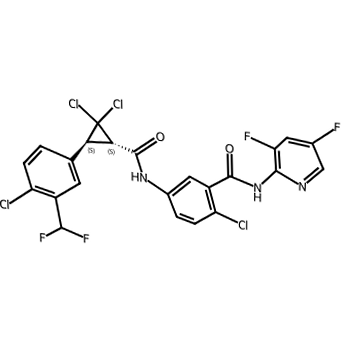 O=C(Nc1ncc(F)cc1F)c1cc(NC(=O)[C@@H]2[C@@H](c3ccc(Cl)c(C(F)F)c3)C2(Cl)Cl)ccc1Cl